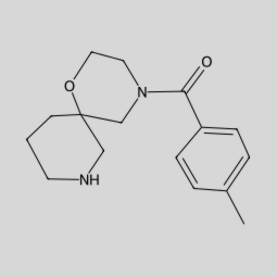 Cc1ccc(C(=O)N2CCOC3(CCCNC3)C2)cc1